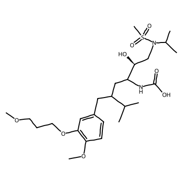 COCCCOc1cc(CC(CC(NC(=O)O)[C@@H](O)CN(C(C)C)S(C)(=O)=O)C(C)C)ccc1OC